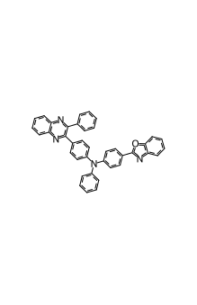 c1ccc(-c2nc3ccccc3nc2-c2ccc(N(c3ccccc3)c3ccc(-c4nc5ccccc5o4)cc3)cc2)cc1